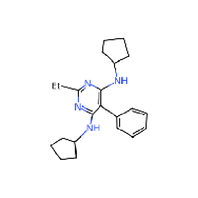 CCc1nc(NC2CCCC2)c(-c2ccccc2)c(NC2CCCC2)n1